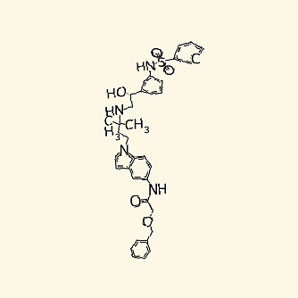 CC(C)(CCn1ccc2cc(NC(=O)COCc3ccccc3)ccc21)NC[C@H](O)c1cccc(NS(=O)(=O)c2ccccc2)c1